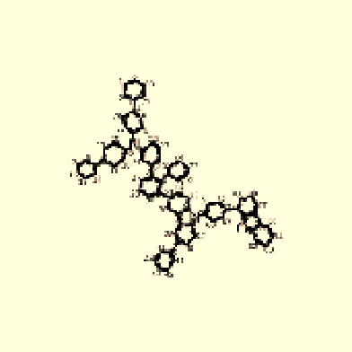 c1ccc(-c2ccc(N(c3ccc(-c4ccccc4)cc3)c3cccc(-c4cccc(-c5ccc6c(c5)c5cc(-c7ccccc7)ccc5n6-c5ccc(-c6cccc7c6oc6ccccc67)cc5)c4-c4ccccc4)c3)cc2)cc1